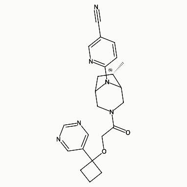 C[C@H]1CC2CN(C(=O)COC3(c4cncnc4)CCC3)CC1N2c1ccc(C#N)cn1